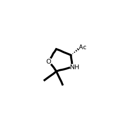 CC(=O)[C@H]1COC(C)(C)N1